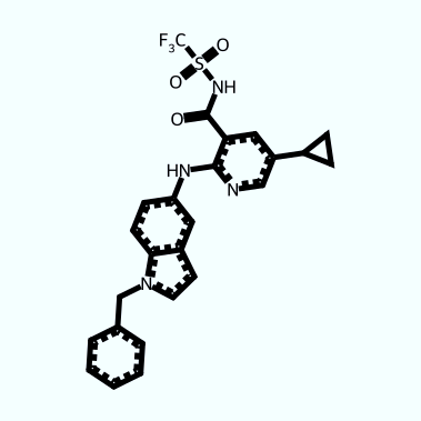 O=C(NS(=O)(=O)C(F)(F)F)c1cc(C2CC2)cnc1Nc1ccc2c(ccn2Cc2ccccc2)c1